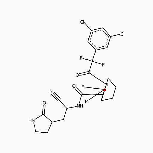 N#CC(CC1CCNC1=O)NC(=O)C1C2CCC(CC2(F)F)N1C(=O)C(F)(F)c1cc(Cl)cc(Cl)c1